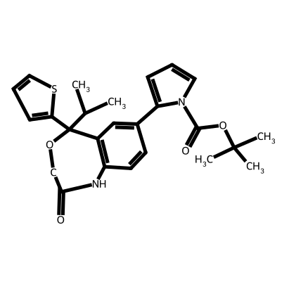 CC(C)C1(c2cccs2)OCC(=O)Nc2ccc(-c3cccn3C(=O)OC(C)(C)C)cc21